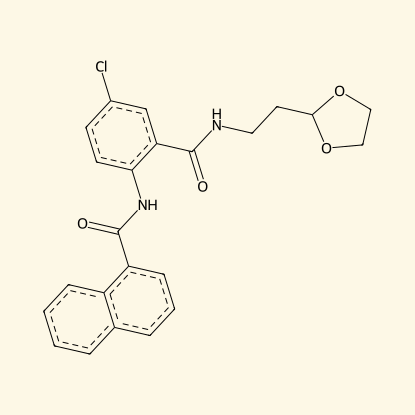 O=C(NCCC1OCCO1)c1cc(Cl)ccc1NC(=O)c1cccc2ccccc12